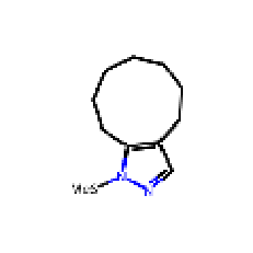 CSn1ncc2c1CCCCCCC2